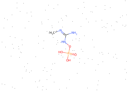 CN=C(N)NOP(=O)(O)O